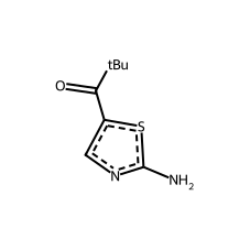 CC(C)(C)C(=O)c1cnc(N)s1